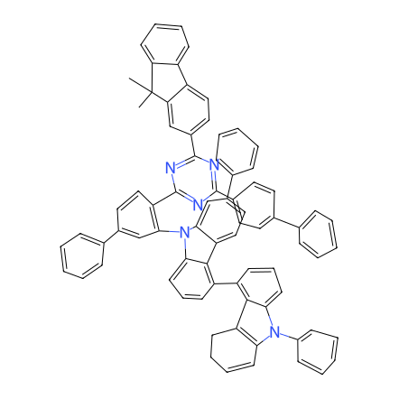 CC1(C)c2ccccc2-c2ccc(-c3nc(-c4ccc(-c5ccccc5)cc4)nc(-c4ccc(-c5ccccc5)cc4-n4c5cc(-c6ccccc6)ccc5c5c(-c6cccc7c6c6c(n7-c7ccccc7)C=CCC6)cccc54)n3)cc21